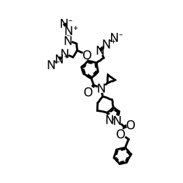 [N-]=[N+]=NCc1cc(C(=O)N(C2CC2)C2CCc3nn(C(=O)OCc4ccccc4)cc3C2)ccc1OC(CN=[N+]=[N-])CN=[N+]=[N-]